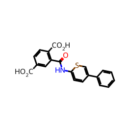 O=C(O)c1ccc(C(=O)O)c(C(=O)NC2=C=CC(c3ccccc3)=CS2)c1